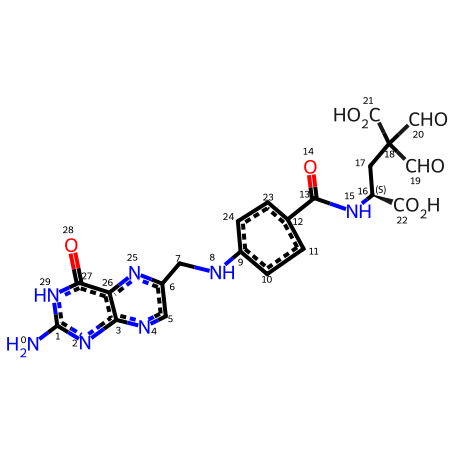 Nc1nc2ncc(CNc3ccc(C(=O)N[C@@H](CC(C=O)(C=O)C(=O)O)C(=O)O)cc3)nc2c(=O)[nH]1